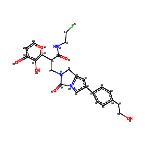 O=C(NCCF)C(CN1Cc2cc(-c3ccc(CCO)cc3)cn2C1=O)c1occc(=O)c1O